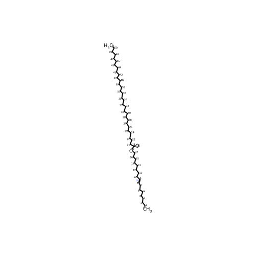 CCCCCCCC/C=C/CCCCCCCCOC(=O)CCCCCCCCCCCCCCCCCCCCCCCCCCCCCCC